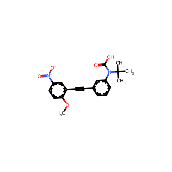 COc1ccc([N+](=O)[O-])cc1C#Cc1cccc(N(C(=O)O)C(C)(C)C)c1